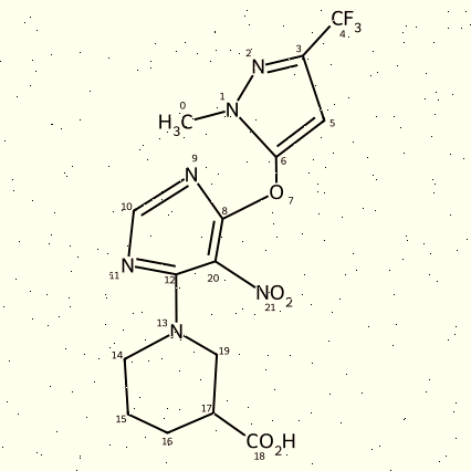 Cn1nc(C(F)(F)F)cc1Oc1ncnc(N2CCCC(C(=O)O)C2)c1[N+](=O)[O-]